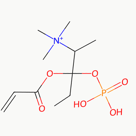 C=CC(=O)OC(CC)(OP(=O)(O)O)C(C)[N+](C)(C)C